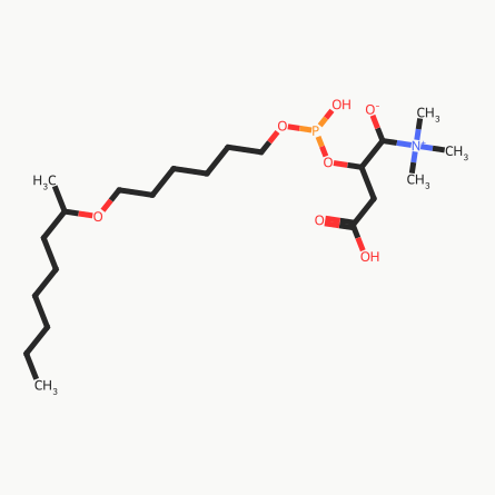 CCCCCCC(C)OCCCCCCOP(O)OC(CC(=O)O)C([O-])[N+](C)(C)C